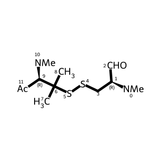 CN[C@H](C=O)CSSC(C)(C)[C@H](NC)C(C)=O